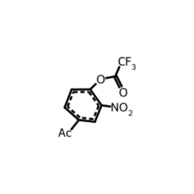 CC(=O)c1ccc(OC(=O)C(F)(F)F)c([N+](=O)[O-])c1